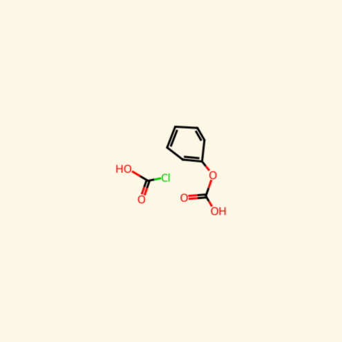 O=C(O)Cl.O=C(O)Oc1ccccc1